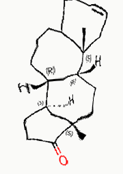 C[C@]12CC=CCC1CC[C@@H]1[C@H]2CC[C@]2(C)C(=O)CC[C@@H]12